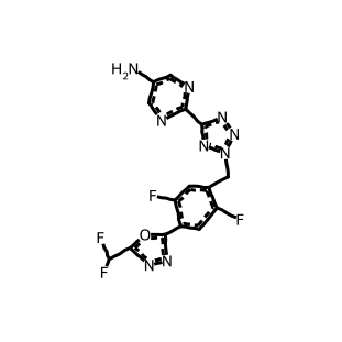 Nc1cnc(-c2nnn(Cc3cc(F)c(-c4nnc(C(F)F)o4)cc3F)n2)nc1